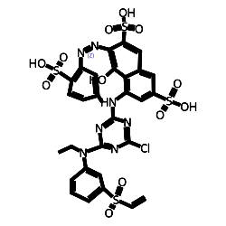 C=CS(=O)(=O)c1cccc(N(CC)c2nc(Cl)nc(Nc3cc(S(=O)(=O)O)cc4cc(S(=O)(=O)O)c(/N=N\c5cc(C)ccc5S(=O)(=O)O)c(O)c34)n2)c1